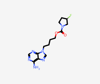 Nc1ncnc2c1ncn2CCCCOC(=O)N1CC[C@@H](F)C1